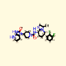 CCC1CN=C2[C@H](NC(=O)N3CCC(n4c5c([nH]c4=O)NCC=C5)CC3)CC[C@@H](c3cccc(F)c3F)CN21